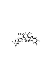 Cc1cc2nn(-c3c(O)cc(O)c(-n4nc5cc(C)c(C)cc5n4)c3O)nc2cc1C